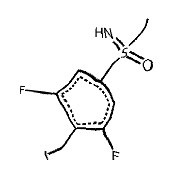 CS(=N)(=O)c1cc(F)c(I)c(F)c1